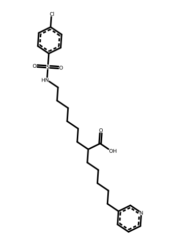 O=C(O)C(CCCCCCNS(=O)(=O)c1ccc(Cl)cc1)CCCCCc1cccnc1